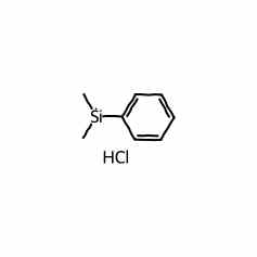 C[Si](C)c1ccccc1.Cl